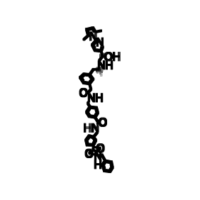 Cc1ccc(C)n1-c1ccc([C@@H](O)CN[C@H](C)Cc2cccc(CC(=O)NCc3ccc(C(=O)NCc4cccc(S(=O)(=O)NCc5ccccc5)c4)cc3)c2)cn1